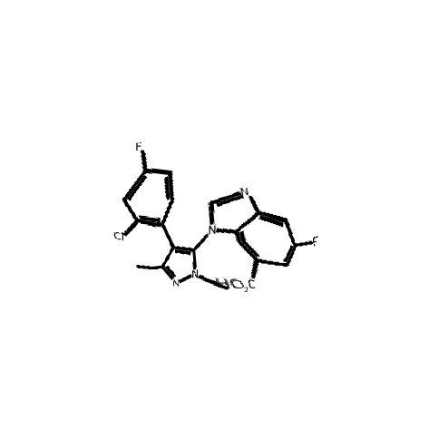 Cc1nn(C)c(-n2cnc3cc(F)cc(C(=O)O)c32)c1-c1ccc(F)cc1Cl